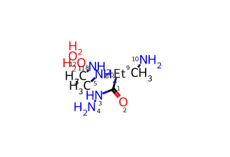 CCC(=O)NN.CN.CN.CN.O.O